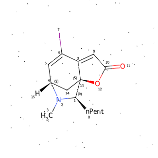 CCCCC[C@H]1N(C)[C@@H]2C=C(I)C3=CC(=O)O[C@@]31C2